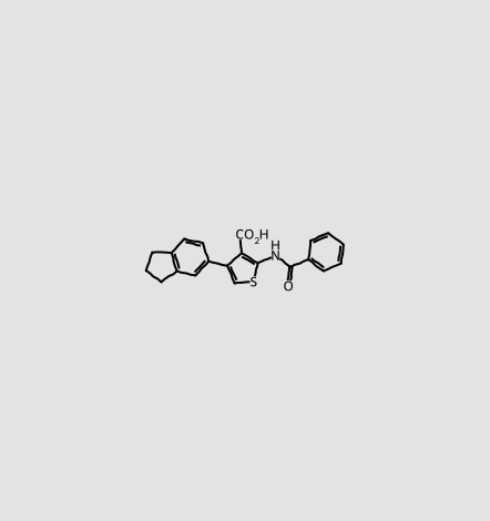 O=C(Nc1scc(-c2ccc3c(c2)CCC3)c1C(=O)O)c1ccccc1